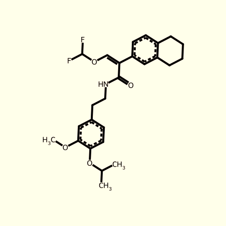 COc1cc(CCNC(=O)C(=COC(F)F)c2ccc3c(c2)CCCC3)ccc1OC(C)C